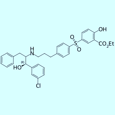 CCOC(=O)c1cc(S(=O)(=O)c2ccc(CCCNC(Cc3ccccc3)[C@H](O)c3cccc(Cl)c3)cc2)ccc1O